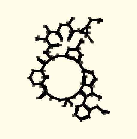 CCn1c(-c2cnccc2COC)c2c3cc(ccc31)-c1cc(O)cc(c1)C[C@H](NC(=O)C(C(C)C)N(C)C(=O)CN(C)C(=O)[C@H]1[C@@H](C)N1SC(C)(C)C)C(=O)N1CCC[C@H](N1)C(=O)OCC(C)(C)C2